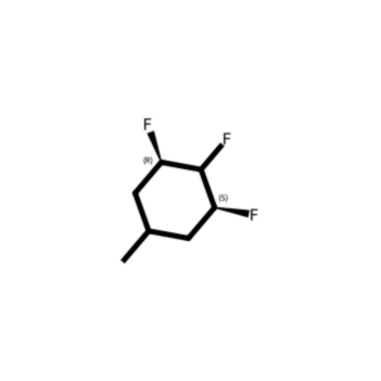 CC1C[C@@H](F)C(F)[C@@H](F)C1